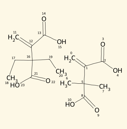 C=C(C(=O)O)C(C)(C)C(=O)O.C=C(C(=O)O)C(CC)(CC)C(=O)O